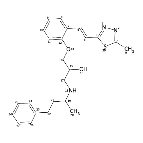 Cc1nnc(C=Cc2ccccc2OCC(O)CNC(C)CCc2ccccc2)s1